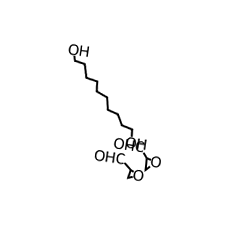 O=CC1CO1.O=CC1CO1.OCCCCCCCCCCO